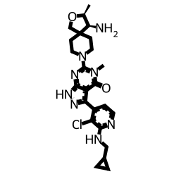 C[C@@H]1OCC2(CCN(c3nc4[nH]nc(-c5ccnc(NCC6CC6)c5Cl)c4c(=O)n3C)CC2)[C@@H]1N